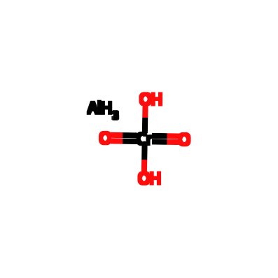 [AlH3].[O]=[Cr](=[O])([OH])[OH]